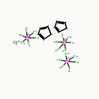 C1=CCC=C1.C1=CCC=C1.F[P-](F)(F)(F)(F)F.F[P-](F)(F)(F)(F)F.F[P-](F)(F)(F)(F)F.[Co+3]